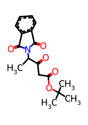 CC(C(=O)CC(=O)OC(C)(C)C)N1C(=O)c2ccccc2C1=O